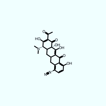 CC(=O)C1=C(O)[C@@H](N(C)C)C2CC3Cc4c([N+]#N)ccc(O)c4C(=O)C3=C(O)[C@]2(O)C1=O